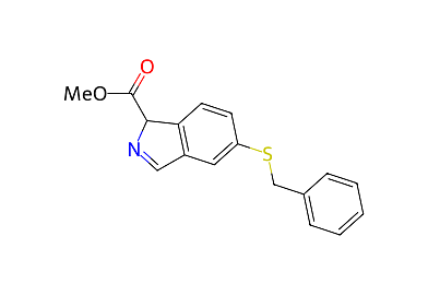 COC(=O)C1N=Cc2cc(SCc3ccccc3)ccc21